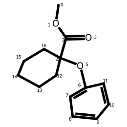 COC(=O)C1(Oc2ccccc2)CCCCC1